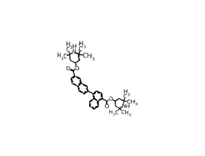 CC1(C)CC(OC(=O)c2ccc3ccc(-c4ccc(C(=O)OC5CC(C)(C)NC(C)(C)C5)c5ccccc45)cc3c2)CC(C)(C)N1